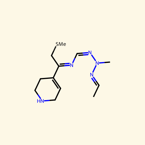 C/C=N/N(C)/N=C\N=C(/CSC)C1=CCNCC1